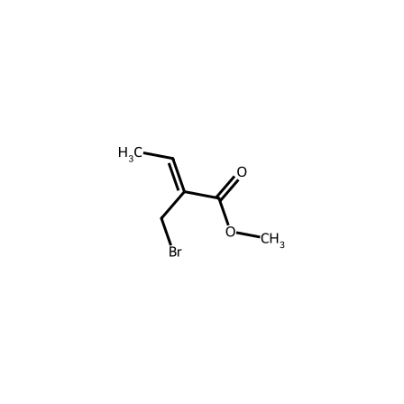 CC=C(CBr)C(=O)OC